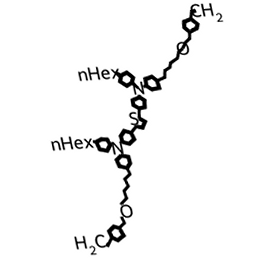 C=Cc1ccc(CCOCCCCCCc2ccc(N(c3ccc(CCCCCC)cc3)c3ccc(-c4ccc(-c5ccc(N(c6ccc(CCCCCC)cc6)c6ccc(CCCCCCOCCc7ccc(C=C)cc7)cc6)cc5)s4)cc3)cc2)cc1